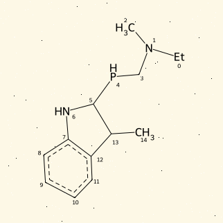 CCN(C)CPC1Nc2ccccc2C1C